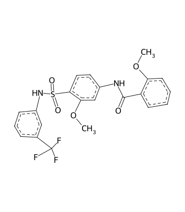 COc1ccccc1C(=O)Nc1ccc(S(=O)(=O)Nc2cccc(C(F)(F)F)c2)c(OC)c1